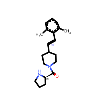 Cc1cccc(C)c1/C=C/C1CCN(C(=O)[C@H]2CCCN2)CC1